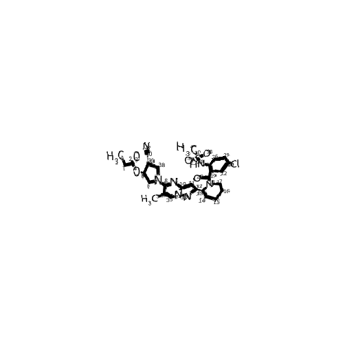 CCC(=O)O[C@H]1CN(c2nc3cc([C@@H]4CCCCN4C(=O)c4cc(Cl)ccc4NS(C)(=O)=O)nn3cc2C)C[C@H]1C#N